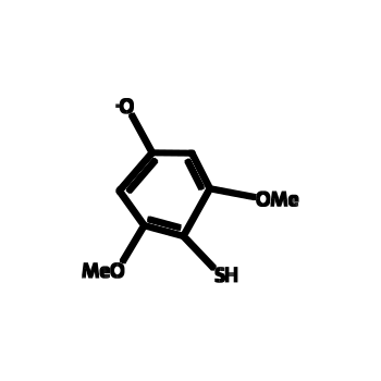 COc1cc([O])cc(OC)c1S